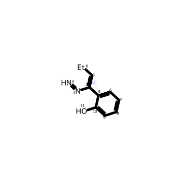 CC/C=C(\N=N)c1ccccc1O